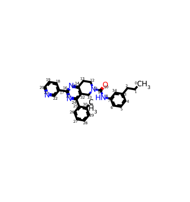 CCCc1cccc(NC(=O)N2CCc3nc(-c4cccnc4)nc(-c4ccccc4C)c3C2)c1